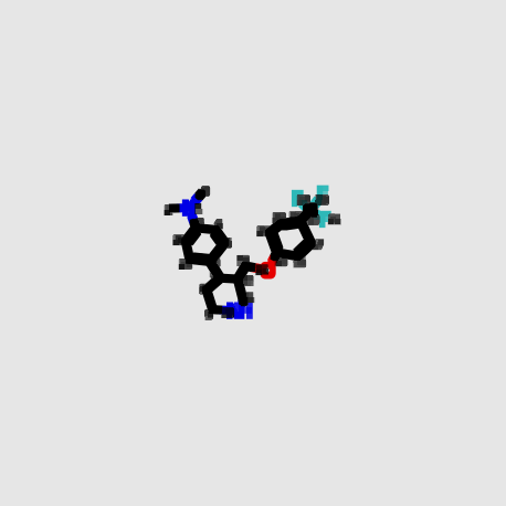 CN(C)c1ccc(C2CCNCC2COc2ccc(C(F)(F)F)cc2)cc1